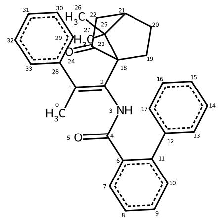 CC(=C(NC(=O)c1ccccc1-c1ccccc1)C12CCC(CC1=O)C2(C)C)c1ccccc1